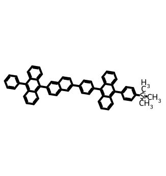 C[Si](C)(C)c1ccc(-c2c3ccccc3c(-c3ccc(-c4ccc5cc(-c6c7ccccc7c(-c7ccccc7)c7ccccc67)ccc5c4)cc3)c3ccccc23)cc1